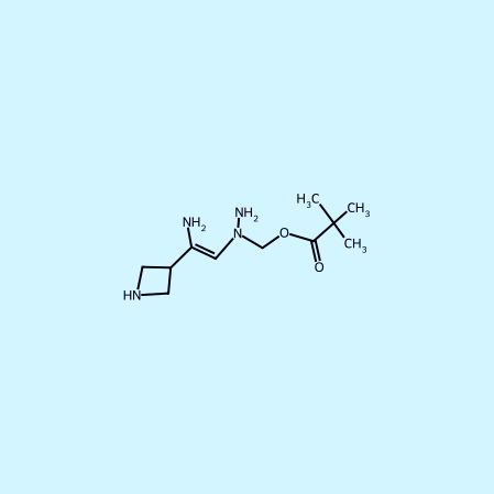 CC(C)(C)C(=O)OCN(N)/C=C(\N)C1CNC1